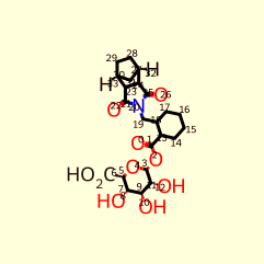 O=C(O[C@@H]1O[C@H](C(=O)O)[C@@H](O)[C@H](O)[C@H]1O)C1CCCCC1CN1C(=O)C2C(C1=O)[C@H]1CC[C@@H]2C1